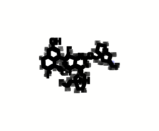 C#Cc1c(F)ccc2cc(O)cc(-c3ncc4c(N5CC6CCC(C=CF)(C5)N6)nc(OC[C@@]56CCCN5C/C(=C\F)C6)nc4c3F)c12